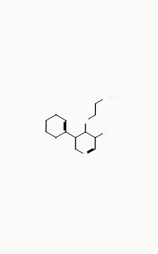 COCCOC1C(N)C=NCC1C1=CCCCC1